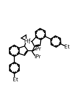 CCc1ccc(-c2cccc3c2C=C(CC(C)C)[CH]3[Hf]2([CH]3C(CC(C)C)=Cc4c(-c5ccc(CC)cc5)cccc43)[CH2][CH2]2)cc1